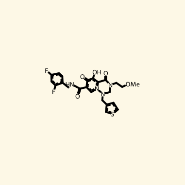 COCCN1CN(Cc2ccsc2)n2cc(C(=O)NCc3ccc(F)cc3F)c(=O)c(O)c2C1=O